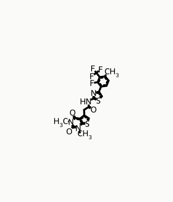 Cc1ccc(-c2csc(NC(=O)Cc3csc4c3c(=O)n(C)c(=O)n4C)n2)c(F)c1C(F)(F)F